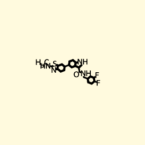 CNc1nc2ccc(-c3ccc4[nH]cc(C(=O)NCc5ccc(F)c(F)c5)c4c3)cc2s1